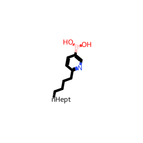 CCCCCCCCCCCc1ccc(B(O)O)cn1